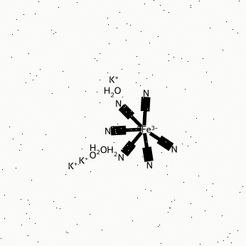 N#[C][Fe-3]([C]#N)([C]#N)([C]#N)([C]#N)[C]#N.O.O.O.[K+].[K+].[K+]